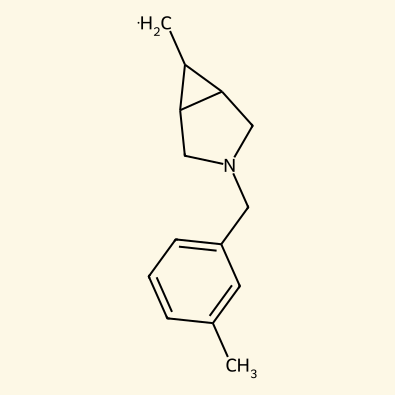 [CH2]C1C2CN(Cc3cccc(C)c3)CC12